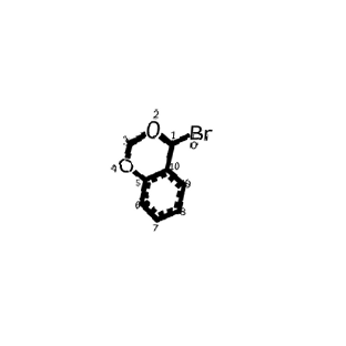 BrC1OCOc2ccccc21